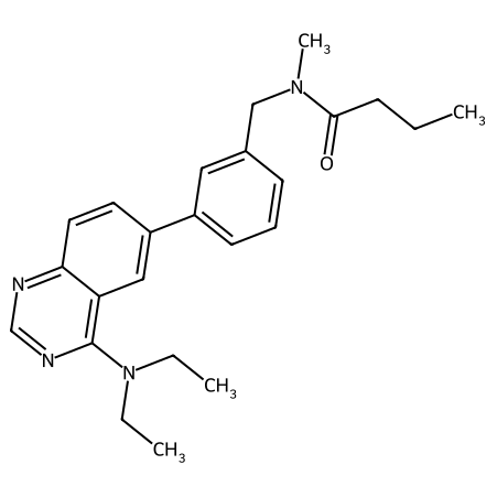 CCCC(=O)N(C)Cc1cccc(-c2ccc3ncnc(N(CC)CC)c3c2)c1